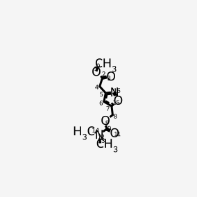 COC(=O)Cc1cc(COC(=O)N(C)C)on1